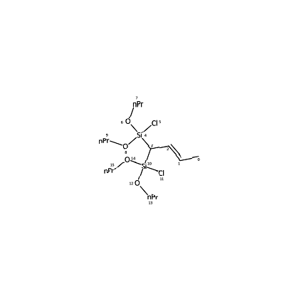 C/C=C/C([Si](Cl)(OCCC)OCCC)[Si](Cl)(OCCC)OCCC